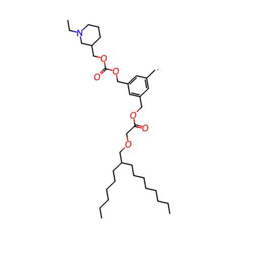 [CH2]c1cc(COC(=O)COCC(CCCCCC)CCCCCCCC)cc(COC(=O)OCC2CCCN(CC)C2)c1